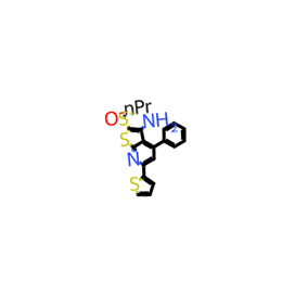 CCC[S+]([O-])c1sc2nc(-c3cccs3)cc(-c3ccccc3)c2c1N